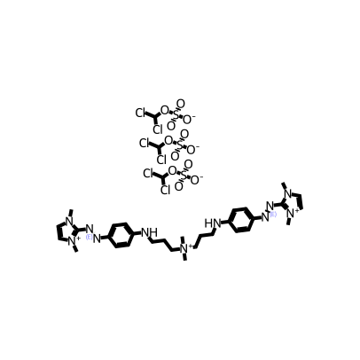 Cn1cc[n+](C)c1/N=N/c1ccc(NCCC[N+](C)(C)CCCNc2ccc(/N=N/c3n(C)cc[n+]3C)cc2)cc1.O=S(=O)([O-])OC(Cl)Cl.O=S(=O)([O-])OC(Cl)Cl.O=S(=O)([O-])OC(Cl)Cl